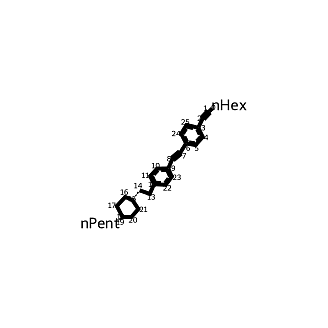 CCCCCCC#Cc1ccc(C#Cc2ccc(CC[C@H]3CC[C@H](CCCCC)CC3)cc2)cc1